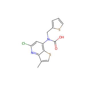 Cc1csc2c(N(Cc3cccs3)C(=O)O)cc(Cl)nc12